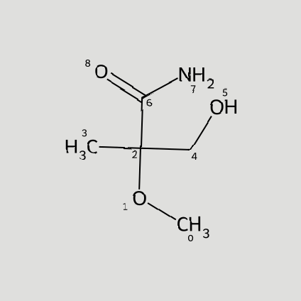 COC(C)(CO)C(N)=O